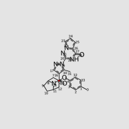 Cc1ccc(OC2CC3CCC(C2)N3C(=O)c2cnn(-c3nn4cccc4c(=O)[nH]3)c2C)cc1